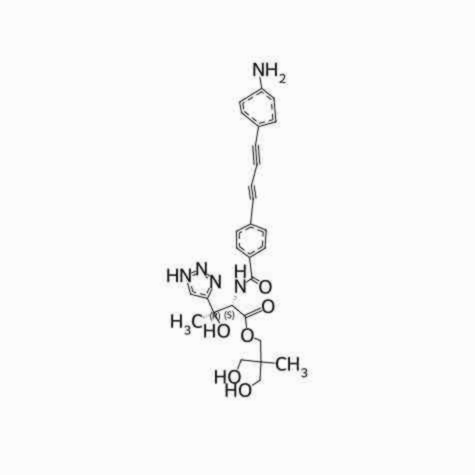 CC(CO)(CO)COC(=O)[C@@H](NC(=O)c1ccc(C#CC#Cc2ccc(N)cc2)cc1)[C@@](C)(O)c1c[nH]nn1